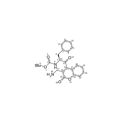 CC(C)(C)OC(=O)N[C@@H](Cc1ccccc1)C(=O)c1c(CN)c(=O)oc2ccccc12